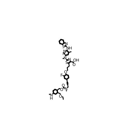 CCOCc1cc(NC)ccc1COC(=O)N(C)CC#Cc1ccc(OCCCc2sc(N(C)c3cc(C)c(Nc4nc5ccccc5s4)nn3)nc2C(=O)O)c(F)c1